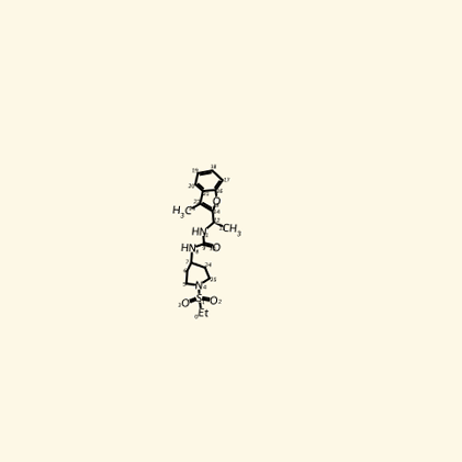 CCS(=O)(=O)N1CCC(NC(=O)N[C@H](C)c2oc3ccccc3c2C)CC1